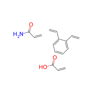 C=CC(=O)O.C=CC(N)=O.C=Cc1ccccc1C=C